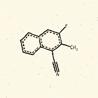 Cc1c(F)cc2ccccc2c1C#N